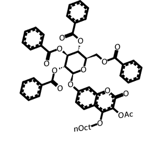 CCCCCCCCOc1c(OC(C)=O)c(=O)oc2cc(O[C@@H]3O[C@H](COC(=O)c4ccccc4)[C@@H](OC(=O)c4ccccc4)[C@H](OC(=O)c4ccccc4)[C@H]3OC(=O)c3ccccc3)ccc12